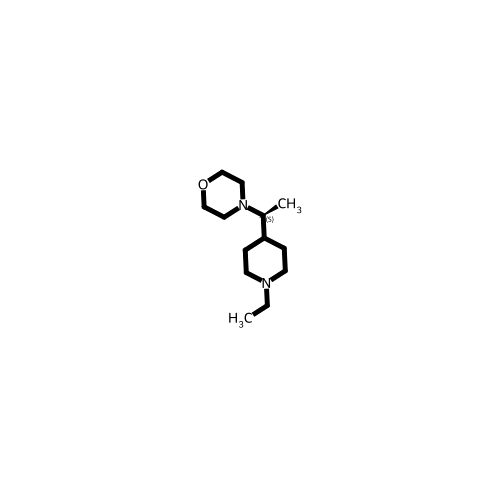 CCN1CCC([C@H](C)N2CCOCC2)CC1